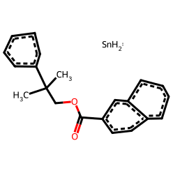 CC(C)(COC(=O)c1ccc2ccccc2c1)c1ccccc1.[SnH2]